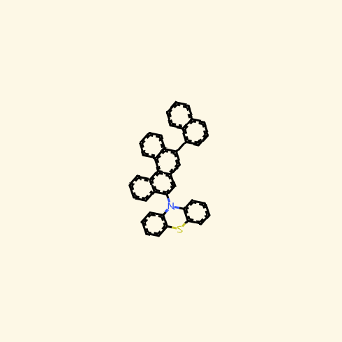 c1ccc2c(c1)Sc1ccccc1N2c1cc2cc(-c3cccc4ccccc34)c3ccccc3c2c2ccccc12